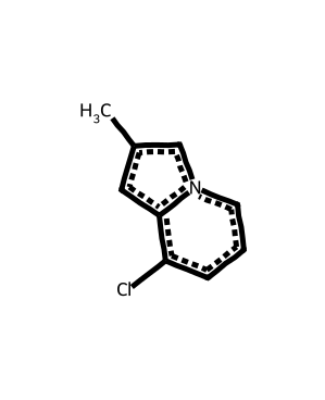 Cc1cc2c(Cl)cccn2c1